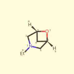 CCN1C[C@H]2C[C@@H](C1)O2